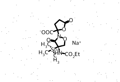 CCOC(=O)N[C@]1([Si](C)(C)C)CON(C2(C(=O)[O-])CCC(=O)O2)C1=O.[Na+]